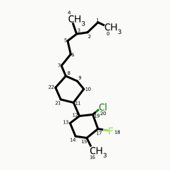 CCCC(C)CCCC1CCC(C2CCC(C)C(F)C2Cl)CC1